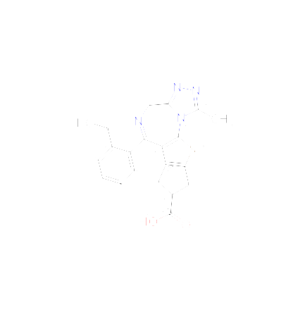 CCc1ccccc1C1=NCc2nnc(C)n2-c2sc3c(c21)CC(C(=O)O)C3